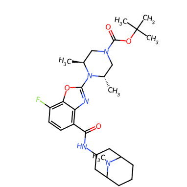 C[C@H]1CN(C(=O)OC(C)(C)C)C[C@H](C)N1c1nc2c(C(=O)NC3CC4CCCC(C3)N4C)ccc(F)c2o1